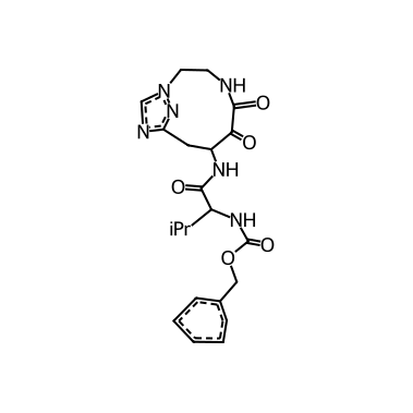 CC(C)C(NC(=O)OCc1ccccc1)C(=O)NC1Cc2ncn(n2)CCNC(=O)C1=O